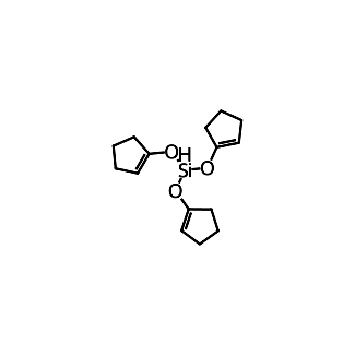 C1=C(O[SiH](OC2=CCCC2)OC2=CCCC2)CCC1